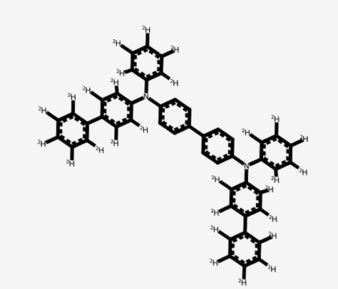 [2H]c1c([2H])c([2H])c(-c2c([2H])c([2H])c(N(c3ccc(-c4ccc(N(c5c([2H])c([2H])c([2H])c([2H])c5[2H])c5c([2H])c([2H])c(-c6c([2H])c([2H])c([2H])c([2H])c6[2H])c([2H])c5[2H])cc4)cc3)c3c([2H])c([2H])c([2H])c([2H])c3[2H])c([2H])c2[2H])c([2H])c1[2H]